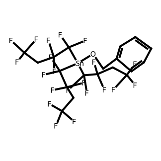 FC(F)(F)CC(F)(F)[C](F)(F)[Sn]([O]Cc1ccccc1)([C](F)(F)C(F)(F)CC(F)(F)F)[C](F)(F)C(F)(F)CC(F)(F)F